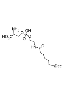 CCCCCCCCCCCCCCCC(=O)NCCOP(=O)(O)OCC(N)C(=O)O